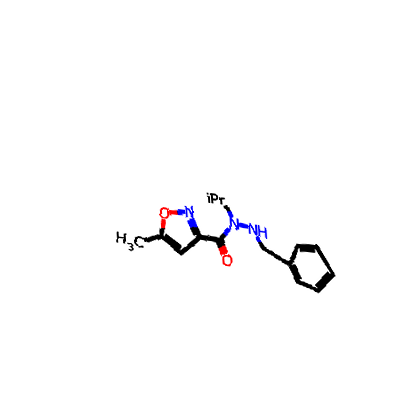 Cc1cc(C(=O)N(NCc2ccccc2)C(C)C)no1